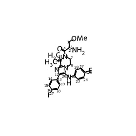 COC[C@H](N)C(=O)N1CCn2c(nc(-c3ccc(F)cc3)c2Nc2ccc(F)cc2)C1(C)C